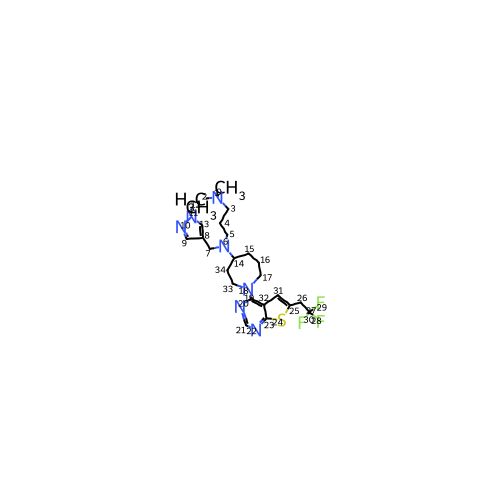 CN(C)CCCN(Cc1cnn(C)c1)C1CCCN(c2ncnc3sc(CC(F)(F)F)cc23)CC1